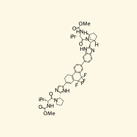 COC(=O)N[C@H](C(=O)N1CCC[C@H]1c1ncc(C2=CC3=C(CC2)c2ccc(-c4ccc5nc([C@@H]6[C@H]7CC[C@H](C7)N6C(=O)[C@@H](NC(=O)OC)C(C)C)[nH]c5c4)cc2C(F)(F)C3(F)F)[nH]1)C(C)C